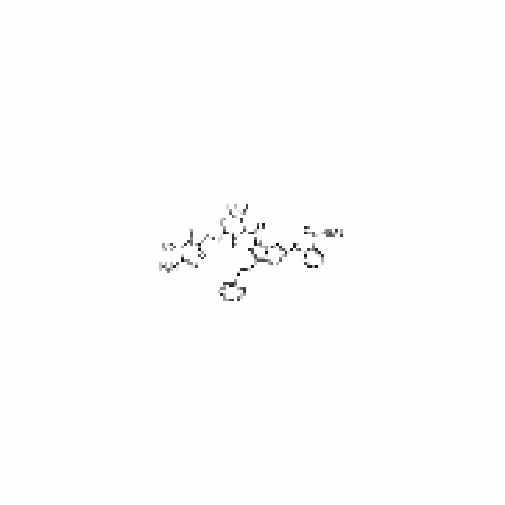 CCC(NC(=O)CCC(=O)NC(CCC(=O)O)C(=O)n1nc(/C=C/c2ccccn2)c2ccc(Sc3ccccc3C(=O)NC)cc21)C(N)=O